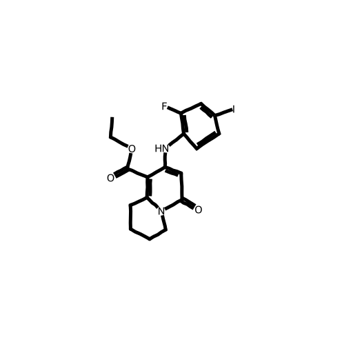 CCOC(=O)c1c(Nc2ccc(I)cc2F)cc(=O)n2c1CCCC2